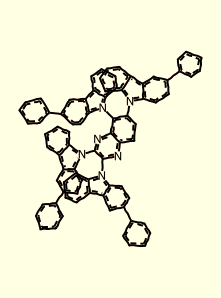 c1ccc(-c2ccc3c(c2)c2ccccc2n3-c2ccc3nc(-n4c5ccccc5c5cc(-c6ccccc6)ccc54)c(-n4c5ccccc5c5cc(-c6ccccc6)ccc54)nc3c2-n2c3ccccc3c3cc(-c4ccccc4)ccc32)cc1